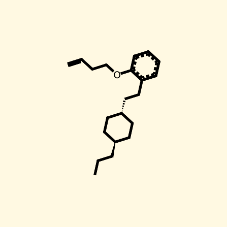 C=CCCOc1ccccc1CC[C@H]1CC[C@H](CCC)CC1